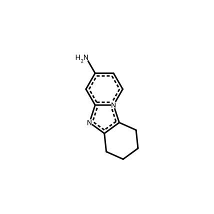 Nc1ccn2c3c(nc2c1)CCCC3